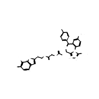 COc1ccc2c(c1)C(c1ccc(Cl)cc1)=N[C@@H](CC(=O)NCC(=O)NCCc1cc3ccc(O)c(O)c3[nH]1)c1nnc(C)n1-2